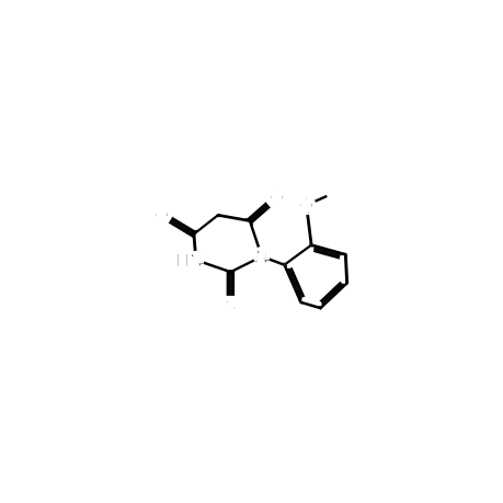 COc1ccccc1N1C(=O)CC(=O)NC1=S